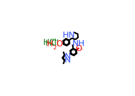 COc1ccc(-n2nc(C)cc2C)cc1CNC1CCCNC1c1ccccc1.Cl.Cl.O